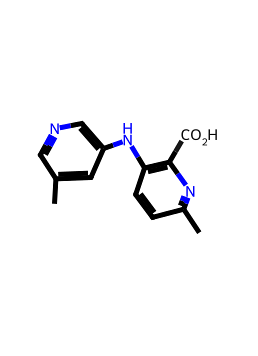 Cc1cncc(Nc2ccc(C)nc2C(=O)O)c1